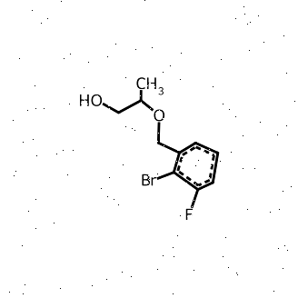 CC(CO)OCc1cccc(F)c1Br